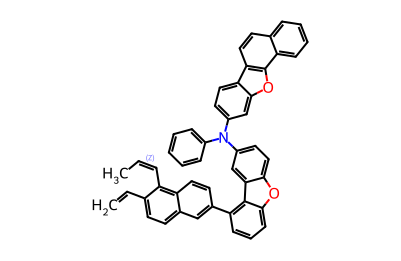 C=Cc1ccc2cc(-c3cccc4oc5ccc(N(c6ccccc6)c6ccc7c(c6)oc6c8ccccc8ccc76)cc5c34)ccc2c1/C=C\C